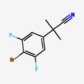 CC(C)(C#N)c1cc(F)c(Br)c(F)c1